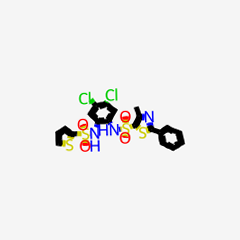 Cc1nc(-c2ccccc2)sc1S(=O)(=O)Nc1cc(Cl)c(Cl)cc1NS(=O)(=O)c1cccs1